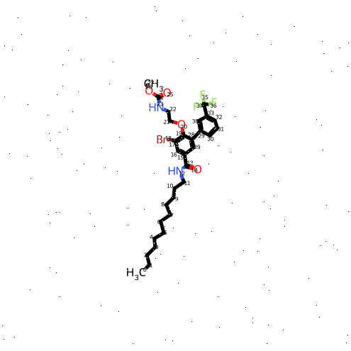 CCCCCCCCCCCCNC(=O)c1cc(Br)c(OCCNC(=O)OC)c(-c2cccc(C(F)(F)F)c2)c1